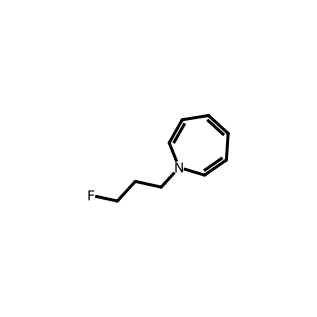 FCCCN1C=CC=CC=C1